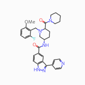 COc1cccc(F)c1CN1C[C@H](NC(=O)c2ccc3[nH]nc(-c4ccncc4)c3c2)CCC1C(=O)N1CCCCC1